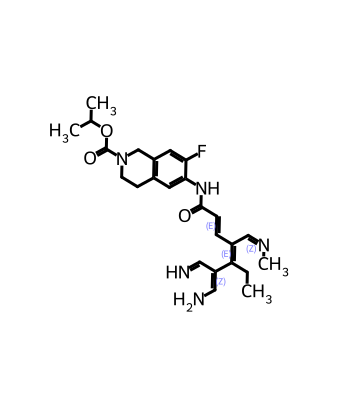 CCC(/C(C=N)=C/N)=C(\C=N/C)/C=C/C(=O)Nc1cc2c(cc1F)CN(C(=O)OC(C)C)CC2